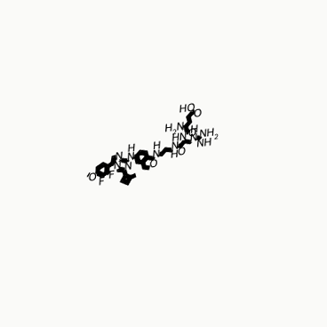 CCc1cc(Nc2nc(C3CC=C3C)cn3c(-c4ccc(OC)c(F)c4F)cnc23)ccc1C(=O)NCCCNC(=O)C(CNC(=N)N)NC(=O)[C@@H](N)CCC(=O)O